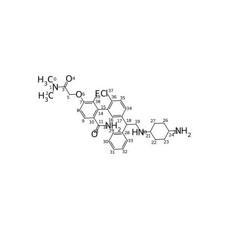 CN(C)C(=O)COc1ccc(C(N)=O)c(-c2cc(C(CNC3CCC(N)CC3)c3ccccc3)ccc2Cl)c1F